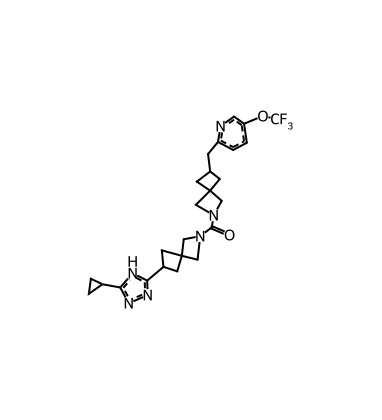 O=C(N1CC2(CC(Cc3ccc(OC(F)(F)F)cn3)C2)C1)N1CC2(CC(c3nnc(C4CC4)[nH]3)C2)C1